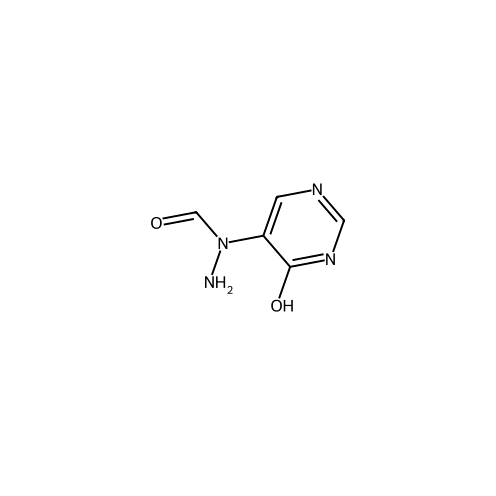 NN(C=O)c1cncnc1O